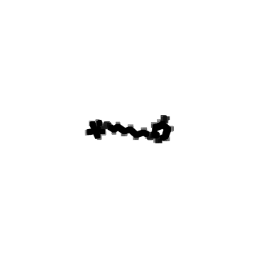 CC(C)(C)[Si](C)(C)OCCCCCCOc1cc(Br)ccn1